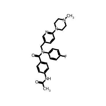 CC(=O)Nc1ccc(C(=O)N(Cc2ccc(N3CCN(C)CC3)nc2)c2ccc(F)cc2)cc1